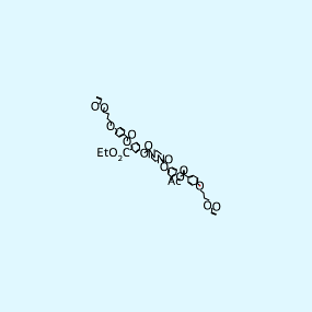 C=CC(=O)OCCCCOc1ccc(C(=O)Oc2ccc(OC(=O)N3CCN(C(=O)Oc4ccc(OC(=O)c5ccc(OCCCCOC(=O)C=C)cc5)c(C(=O)OCC)c4)CC3)cc2C(C)=O)cc1